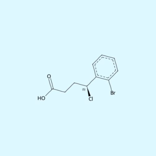 O=C(O)CC[C@H](Cl)c1ccccc1Br